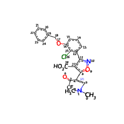 CN(C)/C=C(\C(=O)C(F)(F)F)c1onc(-c2cccc(OCc3ccccc3)c2Cl)c1C(=O)O